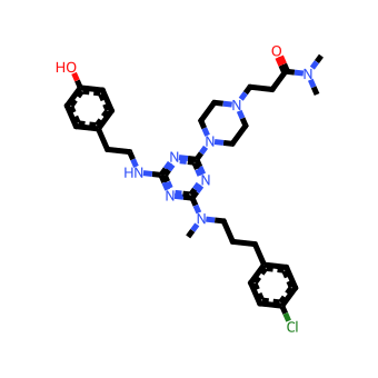 CN(C)C(=O)CCN1CCN(c2nc(NCCc3ccc(O)cc3)nc(N(C)CCCc3ccc(Cl)cc3)n2)CC1